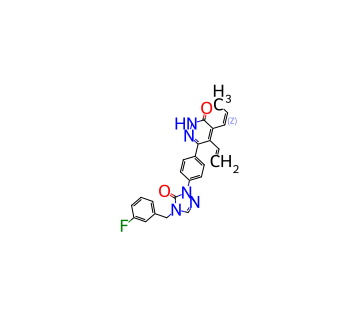 C=Cc1c(-c2ccc(-n3ncn(Cc4cccc(F)c4)c3=O)cc2)n[nH]c(=O)c1/C=C\C